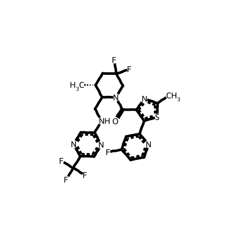 Cc1nc(C(=O)N2CC(F)(F)C[C@@H](C)C2CNc2cnc(C(F)(F)F)cn2)c(-c2cc(F)ccn2)s1